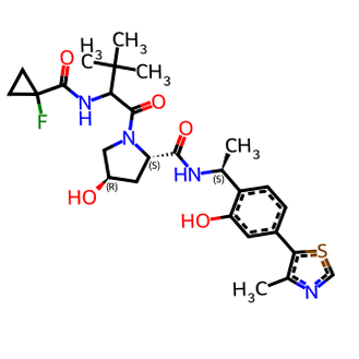 Cc1ncsc1-c1ccc([C@H](C)NC(=O)[C@@H]2C[C@@H](O)CN2C(=O)C(NC(=O)C2(F)CC2)C(C)(C)C)c(O)c1